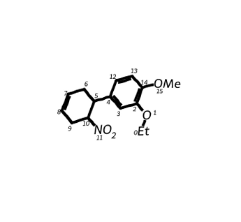 CCOc1cc(C2CC=CCC2[N+](=O)[O-])ccc1OC